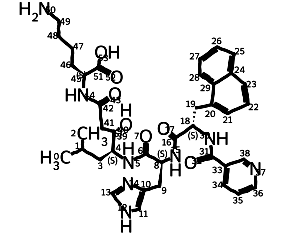 CC(C)C[C@H](NC(=O)[C@H](Cc1c[nH]cn1)NC(=O)[C@H](Cc1cccc2ccccc12)NC(=O)c1cccnc1)[C@@H](O)CC(=O)N[C@@H](CCCCN)C(=O)O